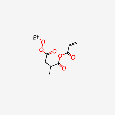 C=CC(=O)OC(=O)C(C)CC(=O)OOCC